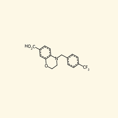 O=C(O)c1ccc2c(c1)OCCN2Cc1ccc(C(F)(F)F)cc1